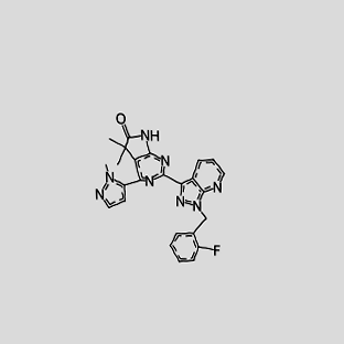 Cn1nccc1-c1nc(-c2nn(Cc3ccccc3F)c3ncccc23)nc2c1C(C)(C)C(=O)N2